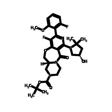 COc1cccc(F)c1-c1nc(N2C[C@@H](O)CC2(C)C)c2c(c1F)OC[C@H]1CN(C(=O)OC(C)(C)C)CCN1C2=O